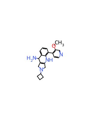 COc1cnccc1-c1cccc2c1NC1=C(CN(C3CCC3)C1)C2N